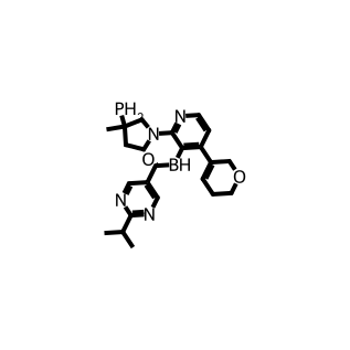 CC(C)c1ncc(C(=O)Bc2c(C3=CCCOC3)ccnc2N2CCC(C)(P)C2)cn1